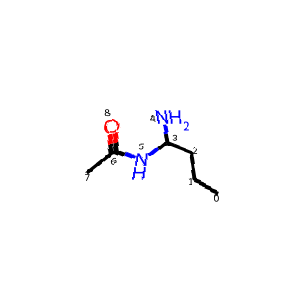 CCCC(N)NC(C)=O